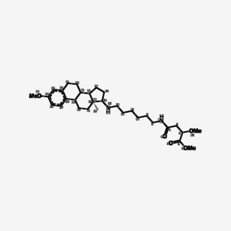 COC(=O)C(CC(=O)NCCCCCCNC1CCC2C3CCc4cc(OC)ccc4C3CC[C@]12C)OC